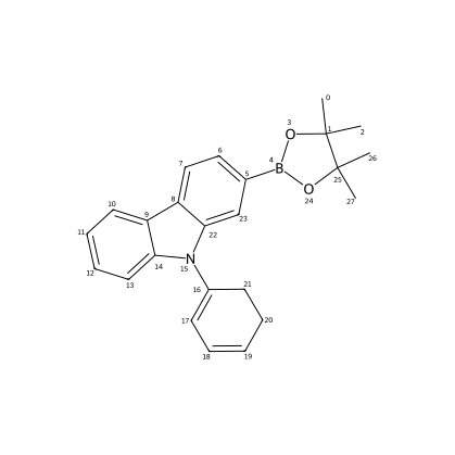 CC1(C)OB(c2ccc3c4ccccc4n(C4=CC=CCC4)c3c2)OC1(C)C